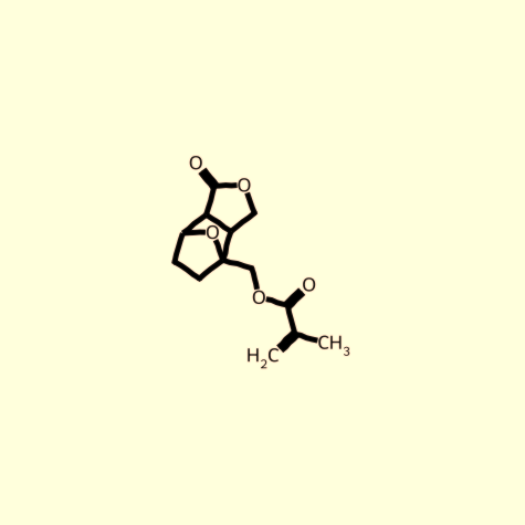 C=C(C)C(=O)OCC12CCC(O1)C1C(=O)OCC12